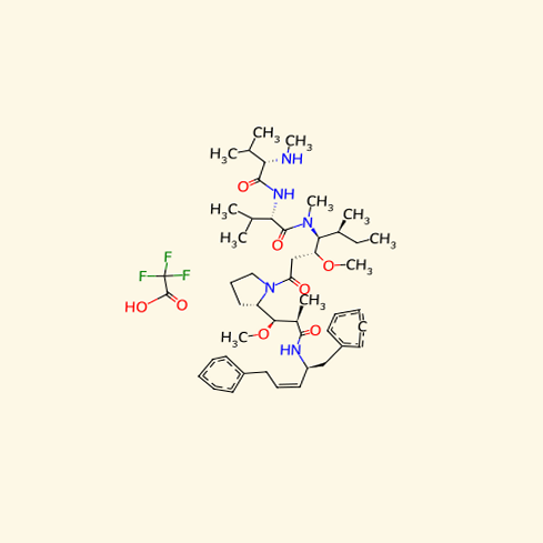 CC[C@H](C)[C@@H]([C@@H](CC(=O)N1CCC[C@H]1[C@H](OC)[C@@H](C)C(=O)N[C@H](/C=C\Cc1ccccc1)Cc1ccccc1)OC)N(C)C(=O)[C@@H](NC(=O)[C@@H](NC)C(C)C)C(C)C.O=C(O)C(F)(F)F